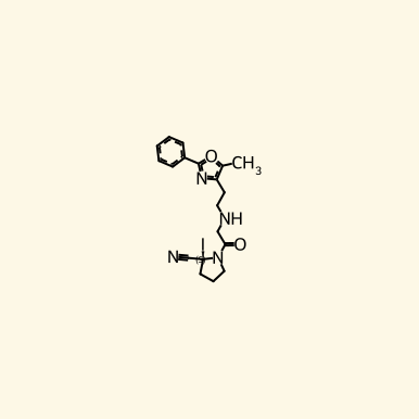 Cc1oc(-c2ccccc2)nc1CCNCC(=O)N1CCC[C@]1(I)C#N